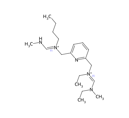 CCCC/[N+](=C\NC)Cc1cccc(C/[N+](=C/N(C)CC)CC)n1